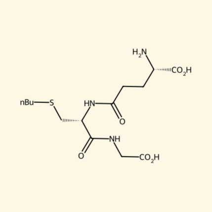 CCCCSC[C@H](NC(=O)CC[C@H](N)C(=O)O)C(=O)NCC(=O)O